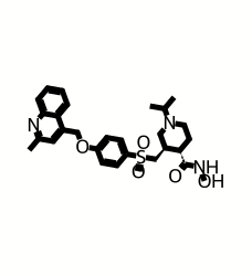 Cc1cc(COc2ccc(S(=O)(=O)C[C@H]3CN(C(C)C)CC[C@@H]3C(=O)NO)cc2)c2ccccc2n1